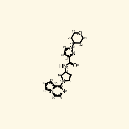 O=C(N[C@H]1CCN(c2nccn3cccc23)C1)c1ccn(C2CCOCC2)n1